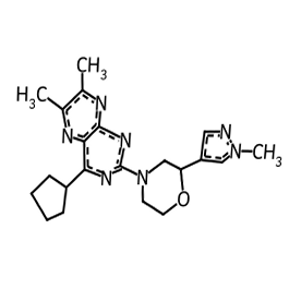 Cc1nc2nc(N3CCOC(c4cnn(C)c4)C3)nc(C3CCCC3)c2nc1C